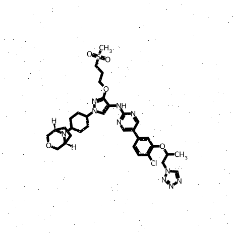 CC(Cn1cnnn1)Oc1cc(-c2cnc(Nc3cn(C4CCC(N5[C@@H]6CC[C@H]5COC6)CC4)nc3OCCCS(C)(=O)=O)nc2)ccc1Cl